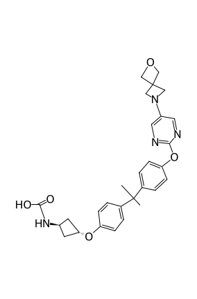 CC(C)(c1ccc(Oc2ncc(N3CC4(COC4)C3)cn2)cc1)c1ccc(O[C@H]2C[C@H](NC(=O)O)C2)cc1